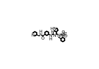 CN(c1ccccc1CNc1nc(Nc2cccc(C(=O)NCc3cccnc3)c2)nc2[nH]ccc12)S(C)(=O)=O